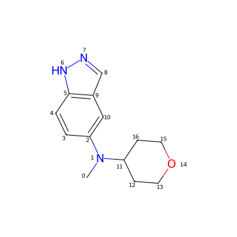 CN(c1ccc2[nH]ncc2c1)C1CCOCC1